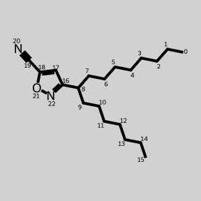 CCCCCCCCC(CCCCCCC)c1cc(C#N)on1